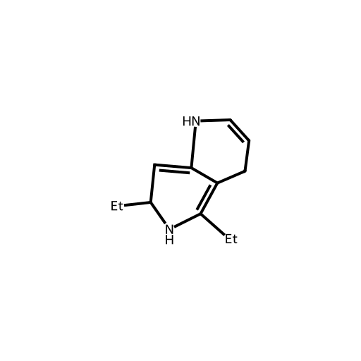 CCC1=C2CC=CNC2=CC(CC)N1